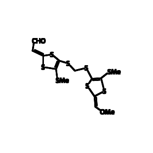 CO/C=C1\SC(SC)=C(SCSC2=C(SC)S/C(=C/C=O)S2)S1